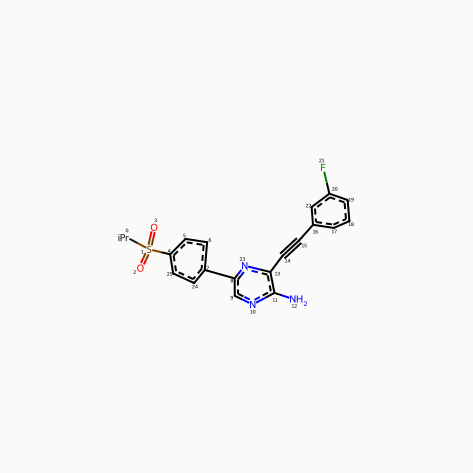 CC(C)S(=O)(=O)c1ccc(-c2cnc(N)c(C#Cc3cccc(F)c3)n2)cc1